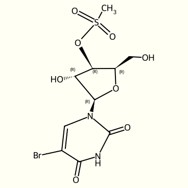 CS(=O)(=O)O[C@@H]1[C@@H](O)[C@H](n2cc(Br)c(=O)[nH]c2=O)O[C@@H]1CO